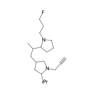 C#CCN1CC(CC(C)C2CCCN2CCCF)CC1C(C)C